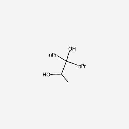 CCCC(O)(CCC)C(C)O